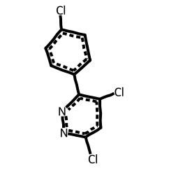 Clc1ccc(-c2nnc(Cl)cc2Cl)cc1